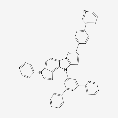 c1ccc(-c2cc(-c3ccccc3)cc(-n3c4ccc(-c5ccc(-c6cccnc6)cc5)cc4c4ccc5c(ccn5-c5ccccc5)c43)c2)cc1